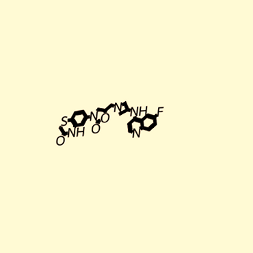 O=C1CSc2ccc(N3CC(CN4CC(Nc5ccnc6ccc(F)cc56)C4)OC3=O)cc2N1